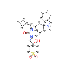 CN(C)C1(c2ccccc2)CCC2(CC1)CN(CC1(O)CCS(=O)(=O)CC1)C(=O)N2CC1CCC1